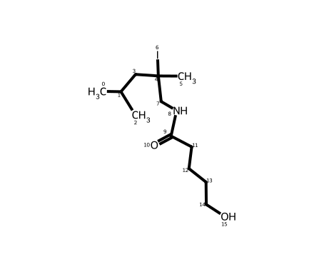 CC(C)CC(C)(I)CNC(=O)CCCCO